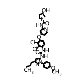 CCCCc1cc(NC(=O)Nc2ccc(Oc3ccnc(NC(=O)N4CCC(O)C4)c3)c(Cl)c2Cl)n(-c2ccc(OC)cc2)n1